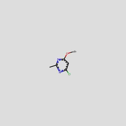 CCCOc1cc(Cl)nc(C)n1